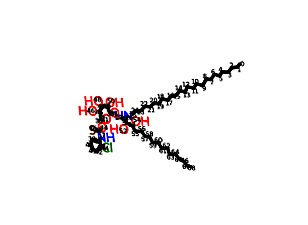 CCCCCCCCCCCCCCCCCCCCCCCCCCN[C@@H](CO[C@H]1O[C@H](COC(=S)Nc2ccccc2Cl)[C@H](O)[C@H](O)[C@H]1O)[C@H](O)[C@H](O)CCCCCCCCCCCCCC